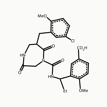 CCC(NC(=O)N1CC(=O)NCC(Cc2cc(Cl)ccc2OC)C1=O)c1cc(C(=O)O)ccc1OC